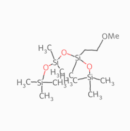 COCC[Si](C)(O[Si](C)(C)C)O[Si](C)(C)O[Si](C)(C)C